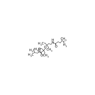 CCC(CC)(CCNC(=O)CCC(C)C)OCC(CC)(CC)C(=O)NCC(C)C